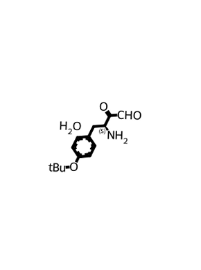 CC(C)(C)Oc1ccc(C[C@H](N)C(=O)C=O)cc1.O